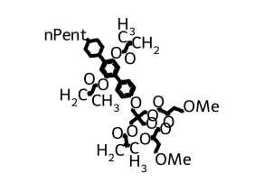 C=C(C)C(=O)OCC(COC(=O)C(=O)CCOC)(COC(=O)C(=O)CCOC)COc1ccc(-c2cc(OC(=O)C(=C)C)c(C3CCC(CCCCC)CC3)cc2OC(=O)C(=C)C)cc1